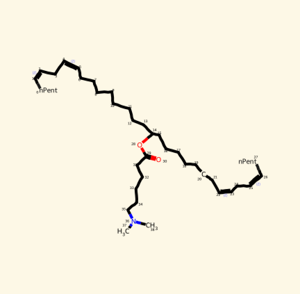 CCCCC/C=C\C/C=C\CCCCCCCCC(CCCCCCC/C=C\C/C=C\CCCCC)OC(=O)CCCCCN(C)C